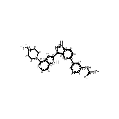 CC(C)C(=O)Nc1cncc(-c2ccc3[nH]nc(-c4cc5c(N6CCN(C)CC6)nccc5[nH]4)c3n2)c1